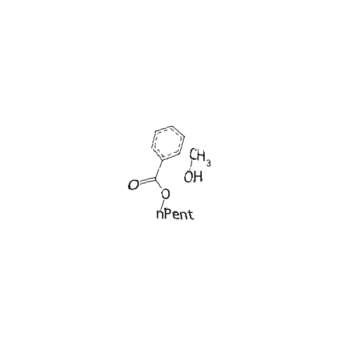 CCCCCOC(=O)c1ccccc1.CO